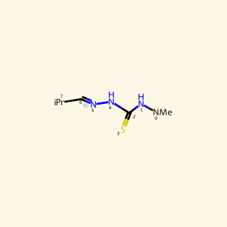 CNNC(=S)N/N=C/C(C)C